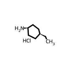 CC[C@H]1CC[C@@H](N)CC1.Cl